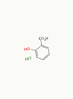 Cl.O=C(O)c1ccccc1O